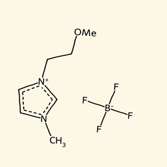 COCC[n+]1ccn(C)c1.F[B-](F)(F)F